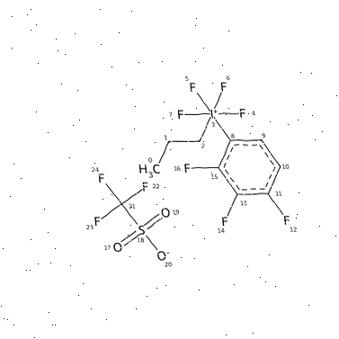 CCC[I+](F)(F)(F)(F)c1ccc(F)c(F)c1F.O=S(=O)([O-])C(F)(F)F